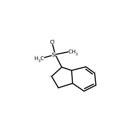 C[Si](C)(Cl)C1[C]CC2C=CC=CC21